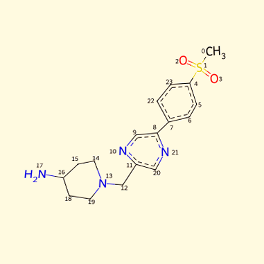 CS(=O)(=O)c1ccc(-c2cnc(CN3CCC(N)CC3)cn2)cc1